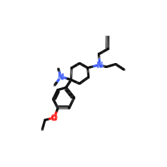 C=CCN(CCC)C1CCC(c2ccc(OCC)cc2)(N(C)C)CC1